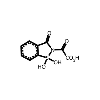 O=C(O)C(=O)N1C(=O)c2ccccc2S1(O)O